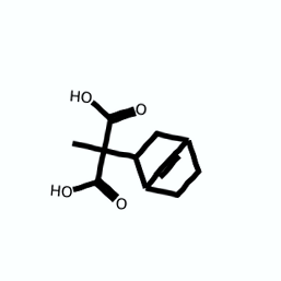 CC(C(=O)O)(C(=O)O)C1CC2C=CC1CC2